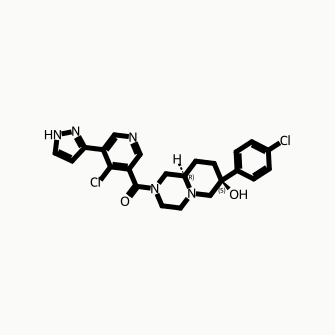 O=C(c1cncc(-c2cc[nH]n2)c1Cl)N1CCN2C[C@@](O)(c3ccc(Cl)cc3)CC[C@@H]2C1